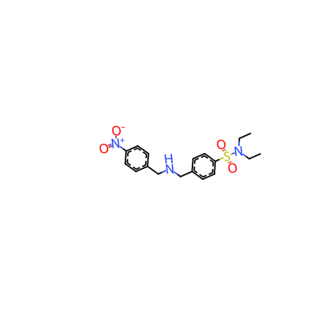 CCN(CC)S(=O)(=O)c1ccc(CNCc2ccc([N+](=O)[O-])cc2)cc1